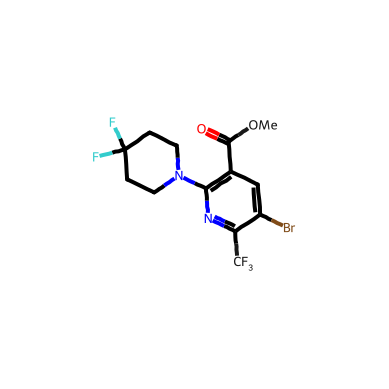 COC(=O)c1cc(Br)c(C(F)(F)F)nc1N1CCC(F)(F)CC1